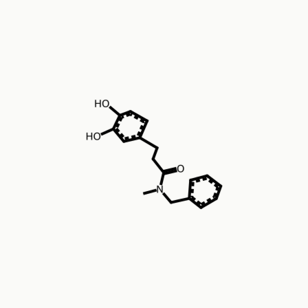 CN(Cc1ccccc1)C(=O)CCc1ccc(O)c(O)c1